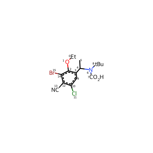 CCOc1c(C(C)N(C(=O)O)C(C)(C)C)cc(Cl)c(C#N)c1Br